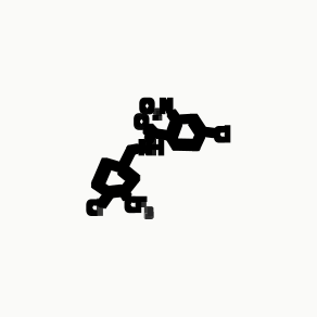 O=C(NCc1ccc(Cl)c(C(F)(F)F)c1)c1ccc(Cl)cc1[N+](=O)[O-]